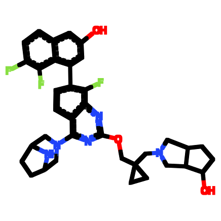 Oc1cc(-c2ccc3c(N4CC5CCC(C4)N5)nc(OCC4(CN5CC6CCC(O)C6C5)CC4)nc3c2F)c2c(F)c(F)ccc2c1